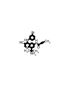 CC#CC(=O)Nc1cc(C(C)(C)N)c2ncc(C#N)c(Nc3cccc(Br)c3)c2c1